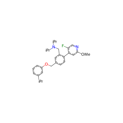 [CH2]C(C)c1cccc(OCc2ccc(-c3cc(OC)ncc3F)c(CN(C(C)C)C(C)C)c2)c1